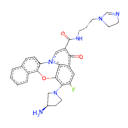 N[C@@H]1CCN(c2c(F)cc3c(=O)c(C(=O)NCCCN4C=NCC4)cn4c3c2Oc2c-4ccc3ccccc23)C1